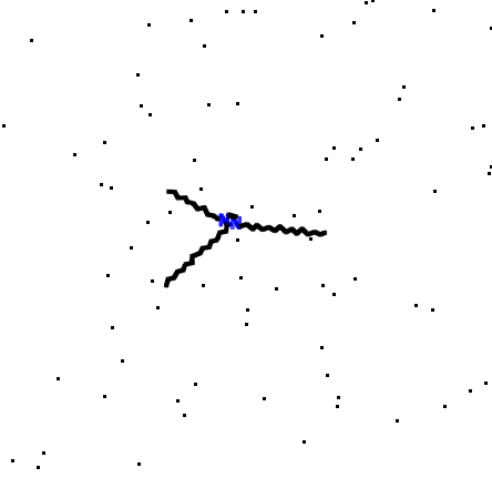 CCCCCCCCCCCCCCCCN1C=CN(CCCCCCCCCCC)C1CCCCCCCCCCCCCCC